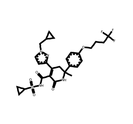 CC1(c2ccc(OCCCC(F)(F)F)cc2)CC(c2ccn(CC3CC3)n2)=C(C(=O)NS(=O)(=O)C2CC2)C(=O)N1